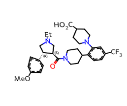 CCN1C[C@@H](C(=O)N2CCC(c3ccc(C(F)(F)F)cc3N3CCC(C(=O)O)CC3)CC2)[C@H](c2ccc(OC)cc2)C1